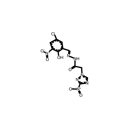 O=C(Cn1cnc([N+](=O)[O-])n1)N/N=C/c1cc(Cl)cc([N+](=O)[O-])c1O